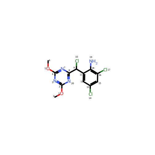 COc1nc(OC)nc(C(Cl)c2cc(Cl)cc(Cl)c2N)n1